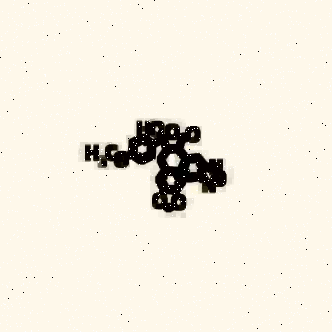 COc1ccc(C2(O)OC(=O)C(c3ccc4nonc4c3)=C2Cc2ccc3c(c2)OCO3)cc1